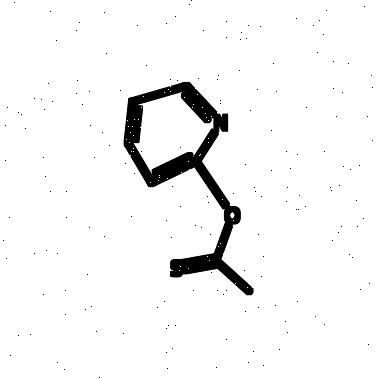 CC(=S)Oc1ccccn1